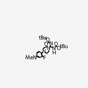 CNc1ccc(N2CCN(/C(=N\C(=O)OC(C)(C)C)NC(=O)OC(C)(C)C)CC2)c(F)c1